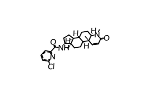 CN1C(=O)C=C[C@]2(C)[C@H]3CC[C@]4(C)[C@@H](NC(=O)c5cccc(Cl)n5)CC[C@H]4[C@@H]3CC[C@@H]12